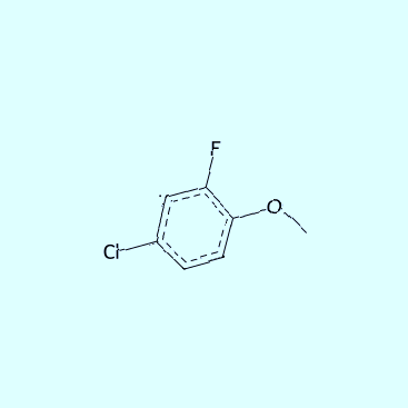 COc1ccc(Cl)[c]c1F